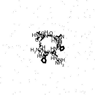 C[C@H]1NC(=O)[C@@H](N2C(=O)NC(C)(C)C2=O)CSSC[C@@H](C(N)=O)NC(=O)[C@H](Cc2c[nH]c3ccccc23)NC(=O)[C@H](CCCNC(=N)N)NC(=O)[C@@H](Cc2ccccc2)NC(=O)[C@H](Cc2cnc[nH]2)NC1=O